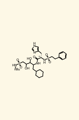 CCCCNS(=O)(=O)CC(O)C(O)C(CC1CCCCC1)NC(=O)[C@H](Cc1c[nH]cn1)NS(=O)(=O)CCc1ccccc1